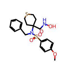 COc1ccc(S(=O)(=O)N(Cc2ccccc2)C2(C(=O)NO)CCSCC2)cc1